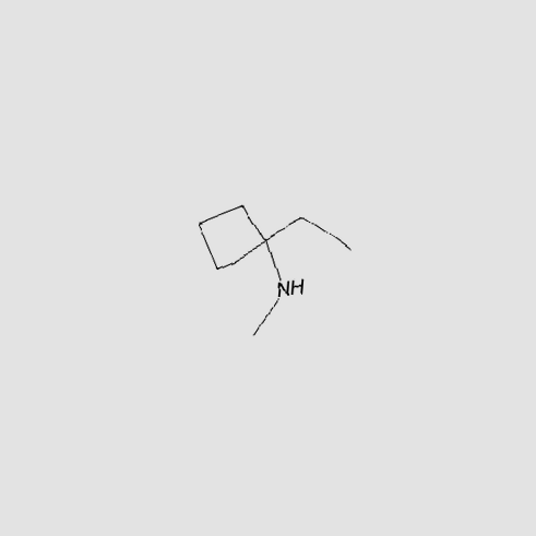 CCC1(NC)CCC1